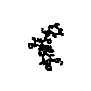 Cc1cccc(N(C)C(=O)c2ncc(Cl)cc2NS(=O)(=O)c2ccc(Cl)c(C(F)(F)F)c2)n1